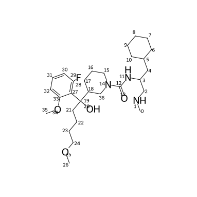 CNCC(CC1CCCCC1)NC(=O)N1CCCC(C(O)(CCCCOC)c2c(F)cccc2OC)C1